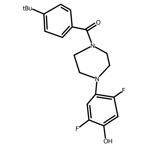 CC(C)(C)c1ccc(C(=O)N2CCN(c3cc(F)c(O)cc3F)CC2)cc1